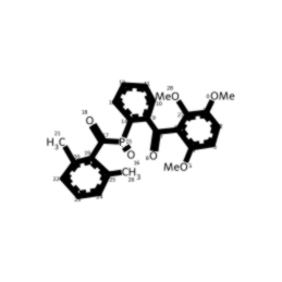 COc1ccc(OC)c(C(=O)c2ccccc2[P](=O)C(=O)c2c(C)cccc2C)c1OC